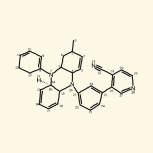 CC1C=CC2C(C1)N(C1=CC=CCC1)[C@@H]1C=CC=CC1N2c1cccc(-c2cnccc2C#N)c1